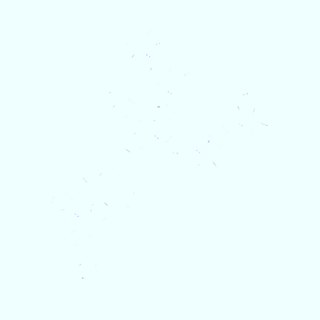 CC(C)(C)c1ccc2c(c1)Oc1cc(CC(C)(C)c3ccc4c(c3)B3c5c(cccc5-n5c6ccc(-c7ccccc7)cc6c6cc(-c7ccccc7)cc3c65)O4)cc3c1B2c1cc(-n2c4ccccc4c4cc(-n5c6ccccc6c6ccccc65)ccc42)cc2c4cc(-n5c6ccccc6c6cc(-n7c8ccccc8c8ccccc87)ccc65)ccc4n-3c12